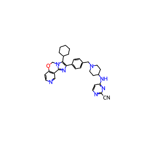 N#Cc1nccc(NC2CCN(Cc3ccc(-c4nc5n(c4C4CCCCC4)COc4ccncc4-5)cc3)CC2)n1